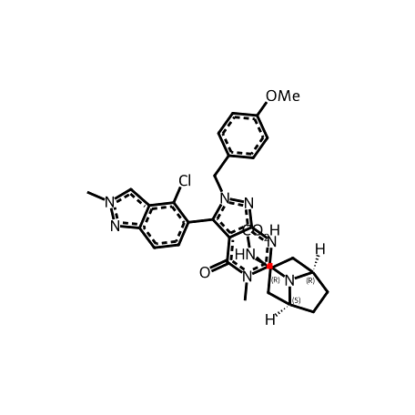 COc1ccc(Cn2nc3nc(N4[C@@H]5CC[C@H]4C[C@@H](NC(=O)O)C5)n(C)c(=O)c3c2-c2ccc3nn(C)cc3c2Cl)cc1